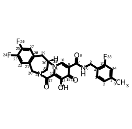 Cc1ccc(CNC(=O)c2cn3c(c(O)c2=O)C(=O)N2Cc4cc(F)c(F)cc4C[C@H]3C2)c(F)c1